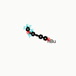 CCCCOc1ccc(-c2ccc(C#Cc3cc(F)c(C(F)(F)Oc4cc(F)c(F)c(F)c4)c(F)c3)cc2)cc1